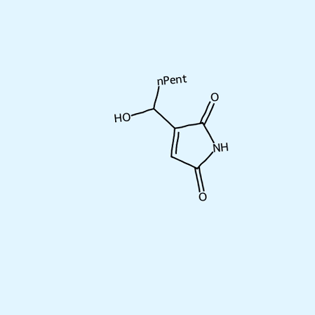 CCCCCC(O)C1=CC(=O)NC1=O